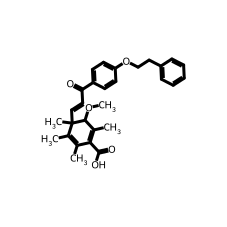 COC1C(C)=C(C(=O)O)C(C)=C(C)C1(C)C=CC(=O)c1ccc(OCCc2ccccc2)cc1